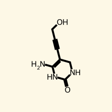 NC1=C(C#CCO)CNC(=O)N1